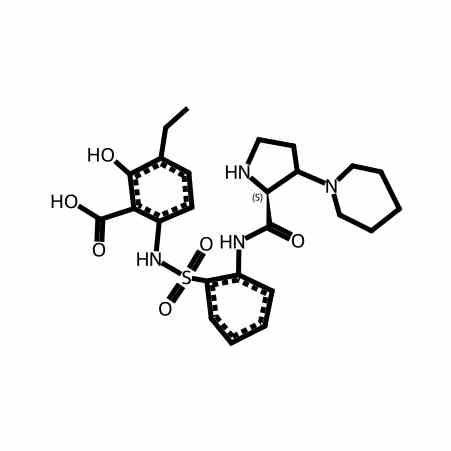 CCc1ccc(NS(=O)(=O)c2ccccc2NC(=O)[C@H]2NCCC2N2CCCCC2)c(C(=O)O)c1O